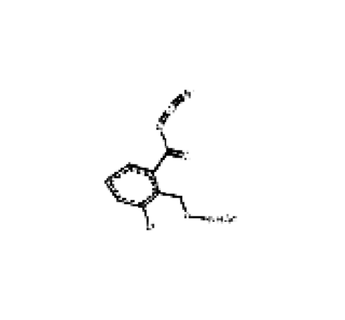 CC(=O)NOCc1c(Cl)cccc1C(=O)N=[N+]=[N-]